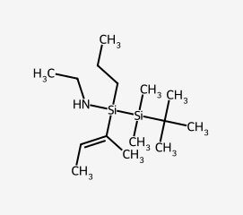 C/C=C(\C)[Si](CCC)(NCC)[Si](C)(C)C(C)(C)C